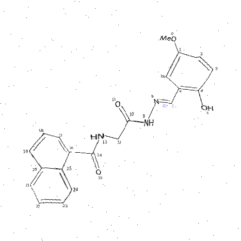 COc1ccc(O)c(/C=N/NC(=O)CNC(=O)c2cccc3ccccc23)c1